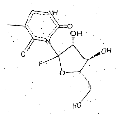 Cc1c[nH]c(=O)n(C2(F)O[C@@H](CO)[C@H](O)[C@H]2O)c1=O